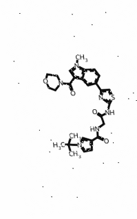 Cn1cc(C(=O)N2CCOCC2)c2cc(-c3csc(NC(=O)CNC(=O)c4ccn(C(C)(C)C)c4)n3)ccc21